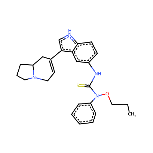 CCCON(C(=S)Nc1ccc2[nH]cc(C3=CCN4CCCC4C3)c2c1)c1ccccc1